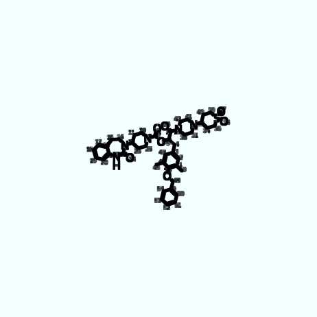 Cc1cc(C[C@@H](OC(=O)N2CCC(N3CCc4ccccc4NC3=O)CC2)C(=O)N2CCN(C3CCS(=O)(=O)CC3)CC2)cc(C)c1OCc1ccccc1